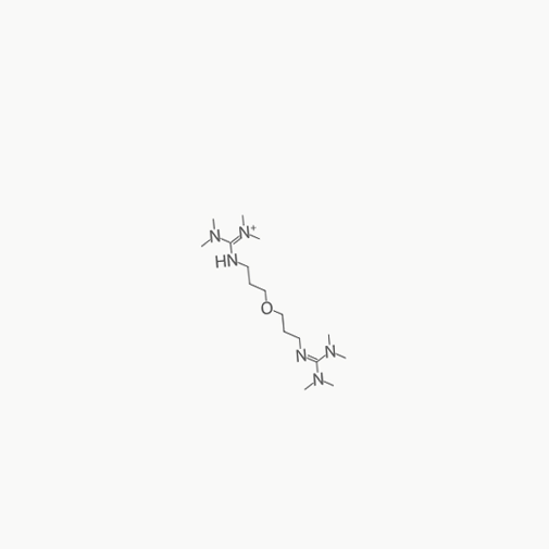 CN(C)C(=NCCCOCCCNC(N(C)C)=[N+](C)C)N(C)C